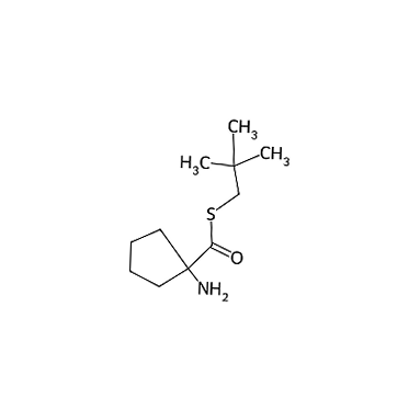 CC(C)(C)CSC(=O)C1(N)CCCC1